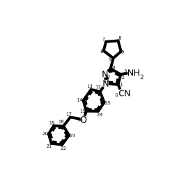 N#Cc1c(N)c(C2CCCC2)nn1-c1ccc(OCc2ccccc2)cc1